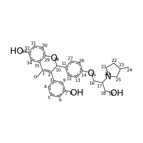 CC1=C(c2cccc(O)c2)C(c2ccc(OCC(CO)N3CCC(C)C3)cc2)Oc2ccc(O)cc21